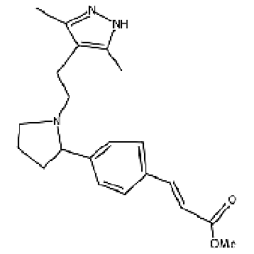 COC(=O)C=Cc1ccc(C2CCCN2CCc2c(C)n[nH]c2C)cc1